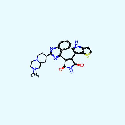 CN1CCN2CCC(c3nc(C4=C(c5c[nH]c6ccsc56)C(=O)NC4=O)c4ccccc4n3)CC2C1